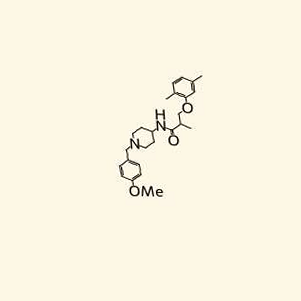 COc1ccc(CN2CCC(NC(=O)C(C)COc3cc(C)ccc3C)CC2)cc1